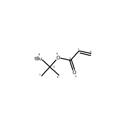 C=CC(=O)OC(C)(C)C(C)(C)C